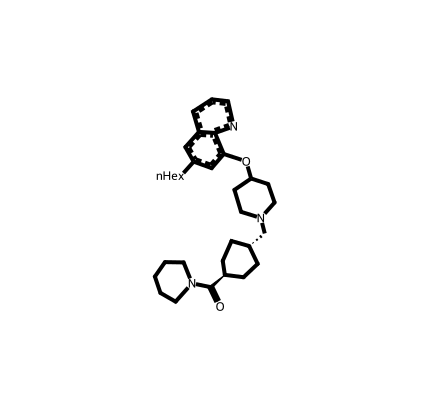 CCCCCCc1cc(OC2CCN(C[C@H]3CC[C@H](C(=O)N4CCCCC4)CC3)CC2)c2ncccc2c1